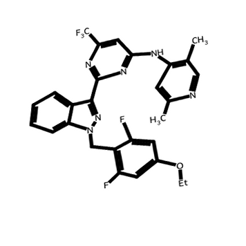 CCOc1cc(F)c(Cn2nc(-c3nc(Nc4cc(C)ncc4C)cc(C(F)(F)F)n3)c3ccccc32)c(F)c1